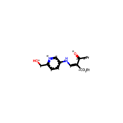 CCOC(=O)C(=CNc1ccc(CO)nc1)C(=O)C(C)C